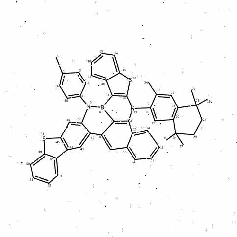 Cc1ccc(N2B3c4c(cc5ccccc5c4N(c4cc5c(cc4C)C(C)(C)CCC5(C)C)c4sc5ccccc5c43)-c3cc4c(cc32)sc2ccccc24)cc1